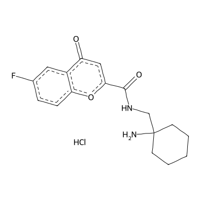 Cl.NC1(CNC(=O)c2cc(=O)c3cc(F)ccc3o2)CCCCC1